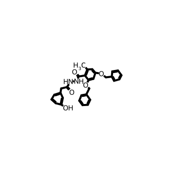 Cc1cc(OCc2ccccc2)cc(OCc2ccccc2)c1C(=O)NNC(=O)Cc1cccc(O)c1